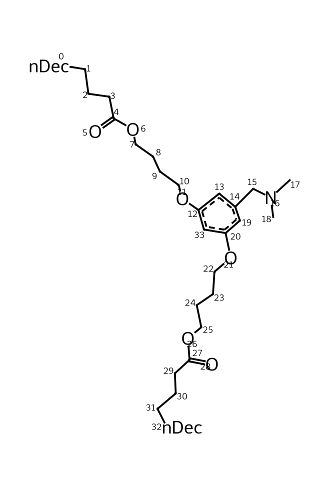 CCCCCCCCCCCCCC(=O)OCCCCOc1cc(CN(C)C)cc(OCCCCOC(=O)CCCCCCCCCCCCC)c1